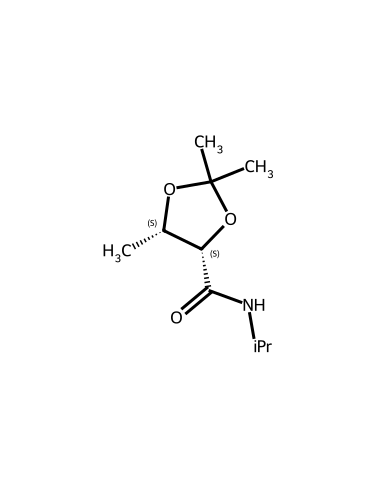 CC(C)NC(=O)[C@H]1OC(C)(C)O[C@H]1C